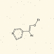 CCOC=C(C(C)=O)c1ccncc1